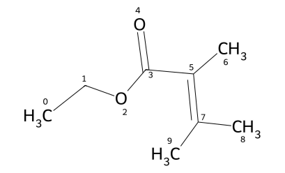 CCOC(=O)C(C)=C(C)C